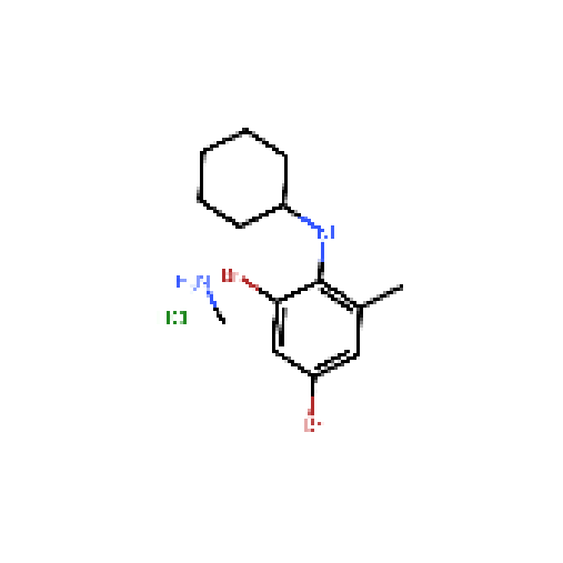 CN.Cc1cc(Br)cc(Br)c1NC1CCCCC1.Cl